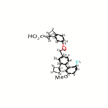 COc1ccc(F)c(-c2ccc(COc3ccc4c(c3)[C@]3(CC4)CC3C(=O)O)cc2C2=CCCC2)c1